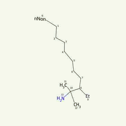 CCCCCCCCCCCCCCCCC(CC)C(C)(C)N